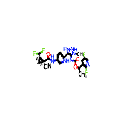 C[C@@H](OC(=O)NC1=C(c2ccc(NC(=O)[C@@]3(C#N)C[C@@H]3C(F)F)cn2)NNN1C)c1cc(F)cnc1F